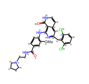 COc1cc(C(=O)NCCN2CCCC2)ccc1Nc1nc(Cc2c(Cl)cccc2Cl)cc2cc[nH]c(=O)c12